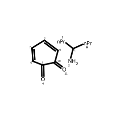 CCCC(N)CCC.O=C1C=CC=CC1=O